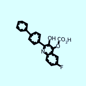 O=C(O)Oc1c(O)c(-c2ccc(-c3ccccc3)cc2)nc2ccc(F)cc12